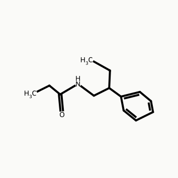 CCC(=O)NCC(CC)c1ccccc1